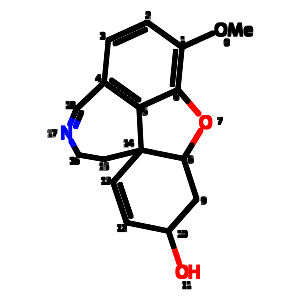 COc1ccc2c3c1OC1CC(O)C=CC31CCN=C2